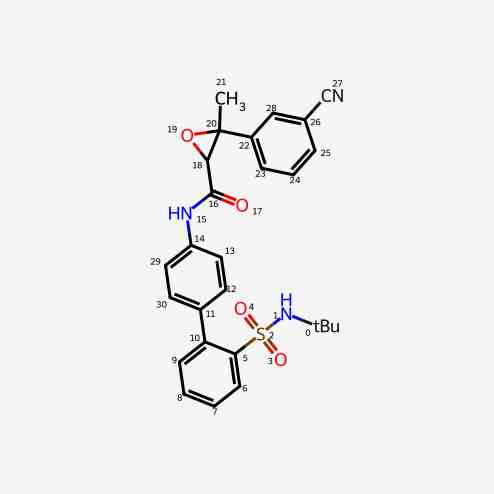 CC(C)(C)NS(=O)(=O)c1ccccc1-c1ccc(NC(=O)C2OC2(C)c2cccc(C#N)c2)cc1